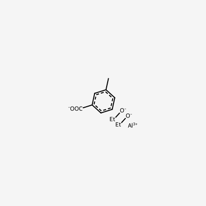 CC[O-].CC[O-].Cc1cccc(C(=O)[O-])c1.[Al+3]